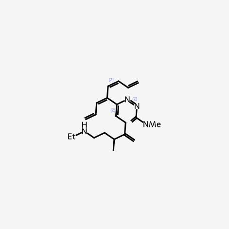 C=CC=C(/C=C\C=C)C(=C/CC(=C)C(C)CCNCC)/N=N\C(=C)NC